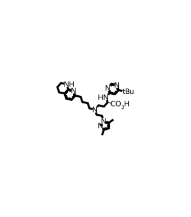 Cc1cc(C)n(CCN(CCCCc2ccc3c(n2)NCCC3)CC[C@H](Nc2cc(C(C)(C)C)ncn2)C(=O)O)n1